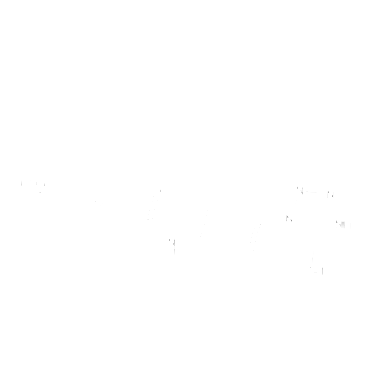 O=C(O)COCC(=O)Nc1ccc(N2N=NNC2S)cc1